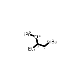 CCCCCC(CC)OC(C)C